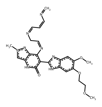 C=N/C=C\C=N/C/C=N\c1c(-c2nc3cc(OC)c(OCCOC)cc3[nH]2)c(=O)[nH]c2cn(C)nc12